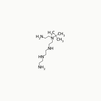 CC(C)(C)N(CCN)CCNCCNCCN